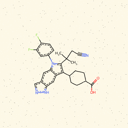 CC(C)(CC#N)c1c(C2CCC(C(=O)O)CC2)c2cc3[nH]ncc3cc2n1-c1ccc(F)c(F)c1